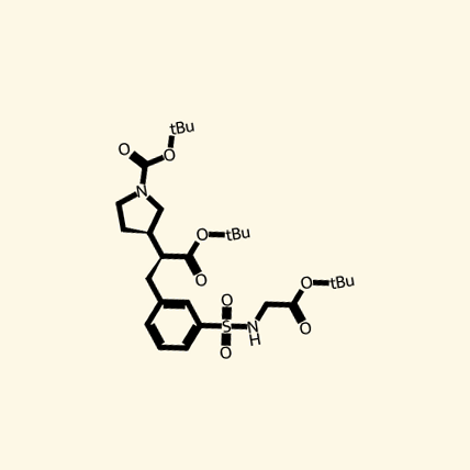 CC(C)(C)OC(=O)CNS(=O)(=O)c1cccc(C[C@H](C(=O)OC(C)(C)C)[C@H]2CCN(C(=O)OC(C)(C)C)C2)c1